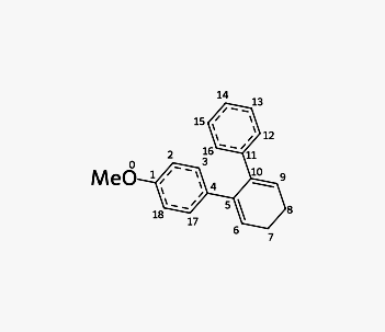 COc1ccc(C2=CCCC=C2c2ccccc2)cc1